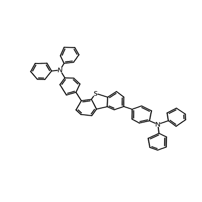 c1ccc(N(c2ccccc2)c2ccc(-c3ccc4sc5c(-c6ccc(N(c7ccccc7)c7ccccc7)cc6)cccc5c4c3)cc2)cc1